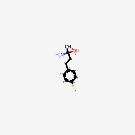 CC(N)(O)CCc1ccc(F)cc1